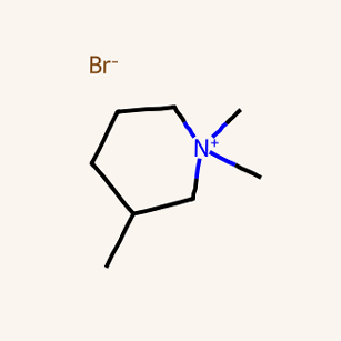 CC1CCC[N+](C)(C)C1.[Br-]